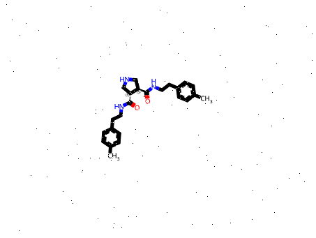 Cc1ccc(CCNC(=O)[C@@H]2CNC[C@H]2C(=O)NCCc2ccc(C)cc2)cc1